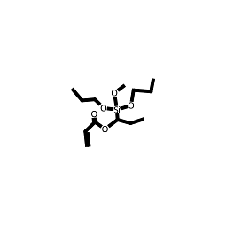 C=CC(=O)OC(CC)[Si](OC)(OCCC)OCCC